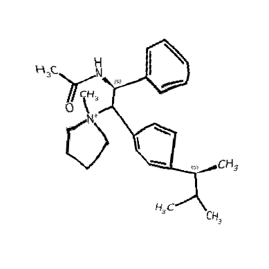 CC(=O)N[C@@H](c1ccccc1)C(c1ccc([C@@H](C)C(C)C)cc1)[N+]1(C)CCCC1